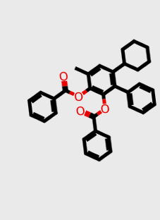 Cc1cc(C2CCCCC2)c(-c2ccccc2)c(OC(=O)c2ccccc2)c1OC(=O)c1ccccc1